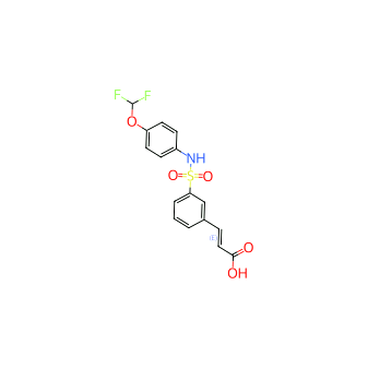 O=C(O)/C=C/c1cccc(S(=O)(=O)Nc2ccc(OC(F)F)cc2)c1